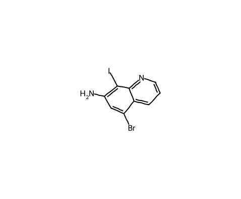 Nc1cc(Br)c2cccnc2c1I